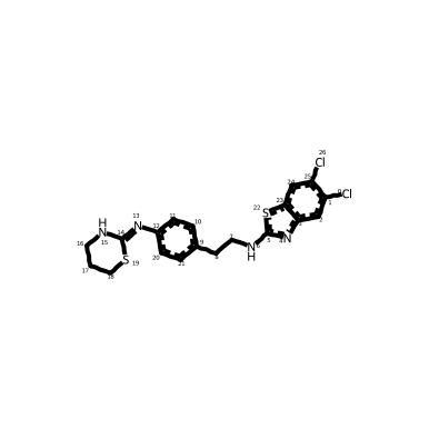 Clc1cc2nc(NCCc3ccc(/N=C4/NCCCS4)cc3)sc2cc1Cl